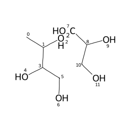 CC(O)C(O)CO.O=C(O)C(O)CO